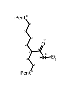 CCCC(C)CCCCC(CCC(C)CCC)C(=O)NCC